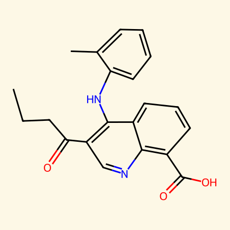 CCCC(=O)c1cnc2c(C(=O)O)cccc2c1Nc1ccccc1C